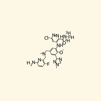 [2H]C([2H])([2H])NC(=O)c1nnc(Cl)cc1Nc1cc(CN(C)Cc2nc(N)ccc2F)cc(-c2ncn(C)n2)c1OC